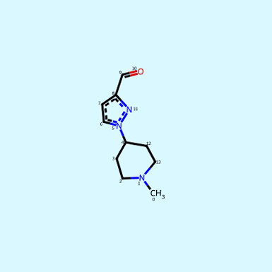 CN1CCC(n2ccc(C=O)n2)CC1